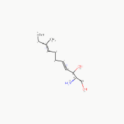 CCCCCCCCC/C(C)=C/CC/C=C/C(O)C(N)CO